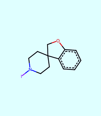 IN1CCC2(CC1)COc1ccccc12